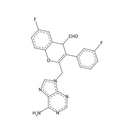 Nc1ncnc2c1ncn2CC1=C(c2cccc(F)c2)C(C=O)c2cc(F)ccc2O1